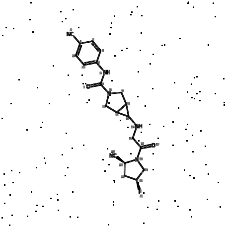 N#Cc1ccc(NC(=O)N2CC3C(C2)C3NCC(=O)N2C[C@@H](F)C[C@H]2C#N)cc1